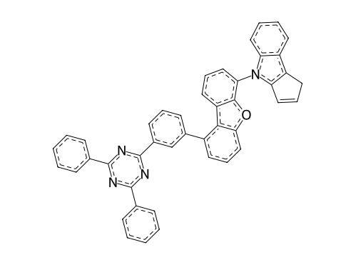 C1=Cc2c(c3ccccc3n2-c2cccc3c2oc2cccc(-c4cccc(-c5nc(-c6ccccc6)nc(-c6ccccc6)n5)c4)c23)C1